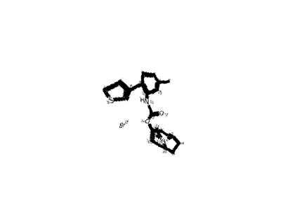 Cc1ccc(-c2ccsc2)c(NC(=O)OC2CC3CCC(C2)[N+]3(C)C)c1.[Br-]